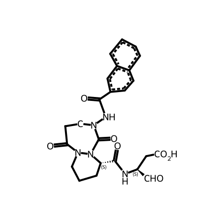 O=C[C@H](CC(=O)O)NC(=O)[C@@H]1CCCN2C(=O)CCN(NC(=O)c3ccc4ccccc4c3)C(=O)N12